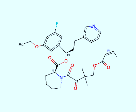 C/C=C\C(=O)OCC(C)(C)C(=O)C(=O)N1CCCC[C@H]1C(=O)O[C@H](CCc1cccnc1)c1cc(F)cc(OCC(C)=O)c1